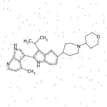 Cc1ccnc2[nH]cc(-c3[nH]c4ccc(C5CCN(C6CCOCC6)CC5)cc4c3C(C)C)c12